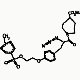 CCOC(=O)C1CCN(C(=O)C(Cc2ccc(OCCOS(=O)(=O)c3ccc(C)cc3)cc2)N=[N+]=[N-])CC1